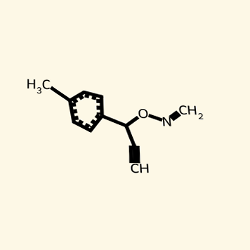 C#CC(ON=C)c1ccc(C)cc1